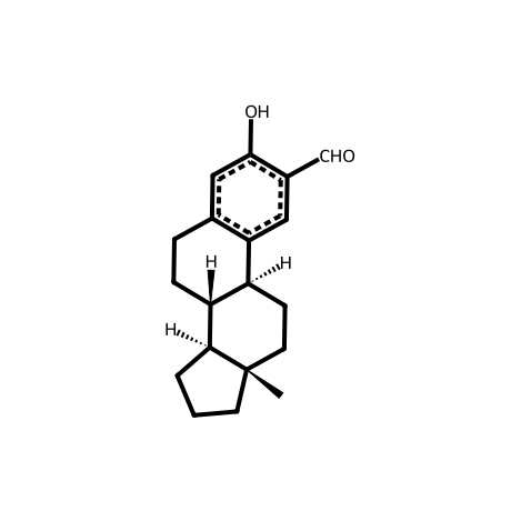 C[C@@]12CCC[C@H]1[C@@H]1CCc3cc(O)c(C=O)cc3[C@H]1CC2